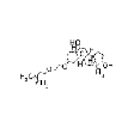 CN(C)CCOCCOC1CC[C@@H]2[C@H](O)C[C@@H]3[C@H](CC[C@]4(C)[C@@H](O)CC[C@@H]34)[C@@]2(C)C1